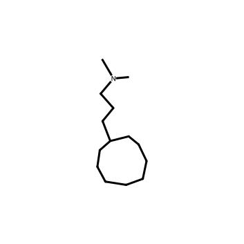 CN(C)CCCC1CCCCCCCC1